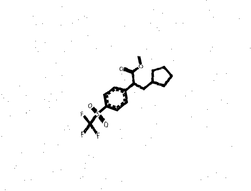 COC(=O)C(CC1CCCC1)c1ccc(S(=O)(=O)C(F)(F)F)cc1